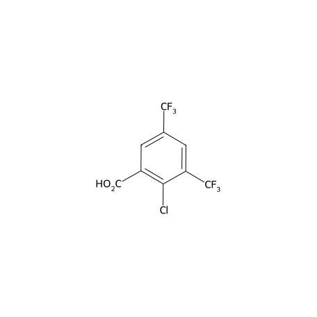 O=C(O)c1cc(C(F)(F)F)cc(C(F)(F)F)c1Cl